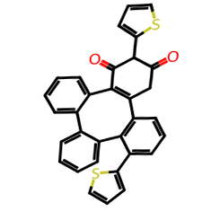 O=C1CC2=C(C(=O)C1c1cccs1)c1ccccc1-c1ccccc1-c1c2cccc1-c1cccs1